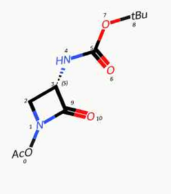 CC(=O)ON1C[C@H](NC(=O)OC(C)(C)C)C1=O